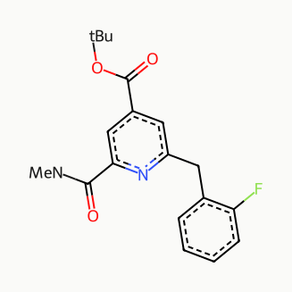 CNC(=O)c1cc(C(=O)OC(C)(C)C)cc(Cc2ccccc2F)n1